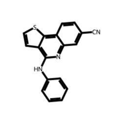 N#Cc1ccc2c(c1)nc(Nc1ccccc1)c1ccsc12